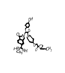 CCOC(=O)COC1CCN(C(=O)[C@H](Cc2ccc(O)cc2)N2Cc3cc(C(=N)NO)ccc3C2=O)CC1